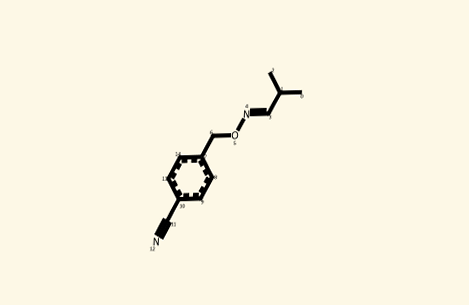 CC(C)C=NOCc1ccc(C#N)cc1